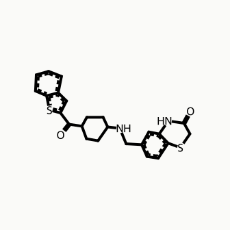 O=C1CSc2ccc(CNC3CCC(C(=O)c4cc5ccccc5s4)CC3)cc2N1